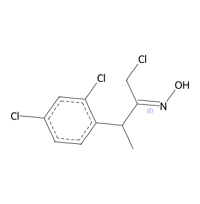 CC(/C(CCl)=N/O)c1ccc(Cl)cc1Cl